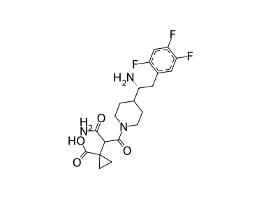 NC(=O)C(C(=O)N1CCC([C@H](N)Cc2cc(F)c(F)cc2F)CC1)C1(C(=O)O)CC1